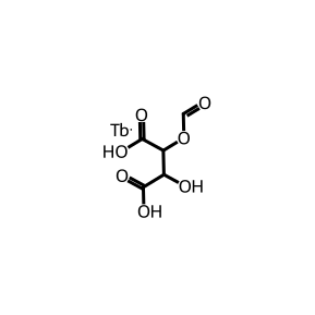 O=COC(C(=O)O)C(O)C(=O)O.[Tb]